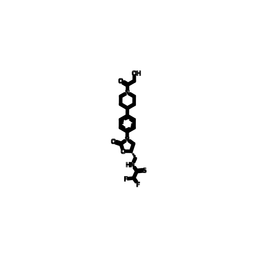 O=C(CO)N1CCC(c2ccc(N3C[C@H](CNC(=S)C(F)F)OC3=O)cc2)CC1